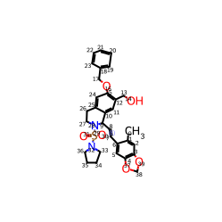 Cc1cc2c(cc1/C=C/C1c3cc(CO)c(OCc4ccccc4)cc3CCN1S(=O)(=O)N1CCCC1)OCO2